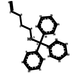 C=CCCCNC(c1ccccc1)(c1ccccc1)c1ccccc1